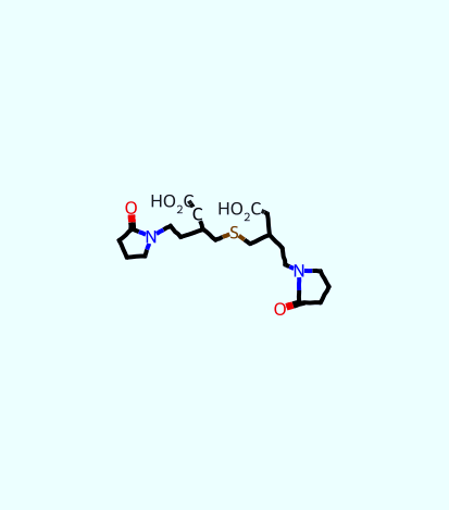 O=C(O)CC(CCN1CCCC1=O)CSCC(CCN1CCCC1=O)CC(=O)O